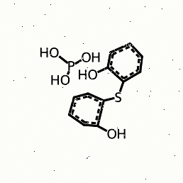 OP(O)O.Oc1ccccc1Sc1ccccc1O